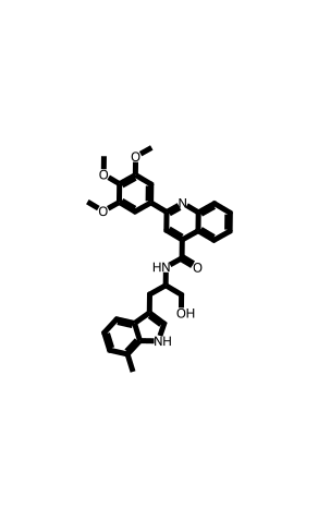 COc1cc(-c2cc(C(=O)NC(CO)Cc3c[nH]c4c(C)cccc34)c3ccccc3n2)cc(OC)c1OC